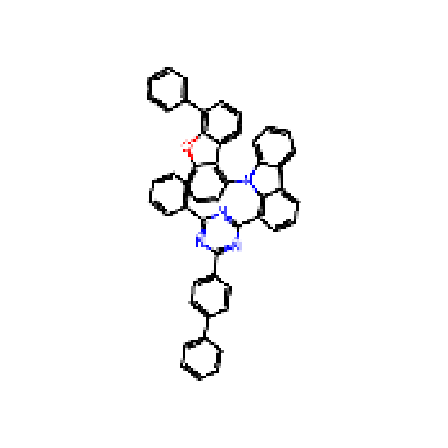 c1ccc(-c2ccc(-c3nc(-c4ccccc4)nc(-c4cccc5c6ccccc6n(-c6cccc7oc8c(-c9ccccc9)cccc8c67)c45)n3)cc2)cc1